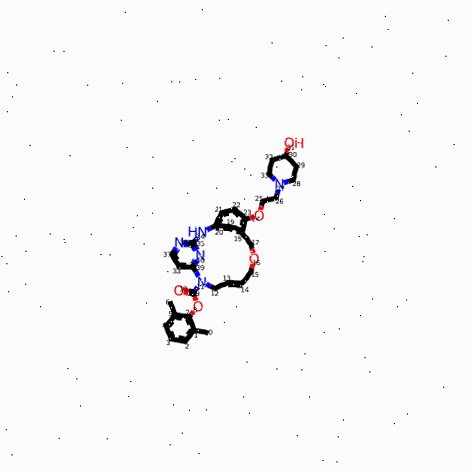 Cc1cccc(C)c1OC(=O)N1C/C=C/COCc2cc(ccc2OCCN2CCC(O)CC2)Nc2nccc1n2